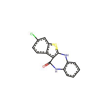 O=C1Nc2ccccc2Nc2sc3cc(Cl)ccc3c21